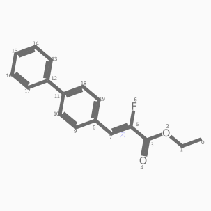 CCOC(=O)/C(F)=C/c1ccc(-c2ccccc2)cc1